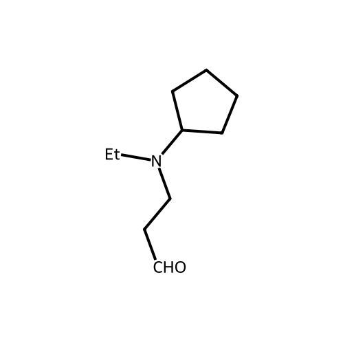 CCN(CCC=O)C1CCCC1